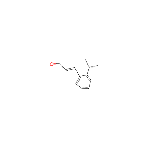 CC(C)c1ccccc1C=CC=O